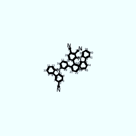 N#Cc1ccc2c(c1)c1ccccc1n2-c1cccc(-c2ccccc2-c2ccc(C#N)c(C#N)c2-n2c3ccccc3c3ccccc32)c1